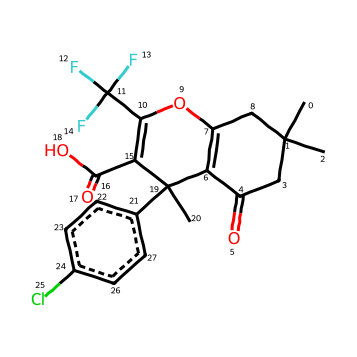 CC1(C)CC(=O)C2=C(C1)OC(C(F)(F)F)=C(C(=O)O)C2(C)c1ccc(Cl)cc1